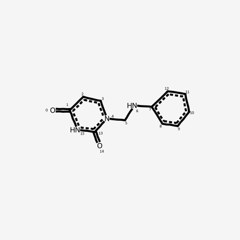 O=c1ccn(CNc2ccccc2)c(=O)[nH]1